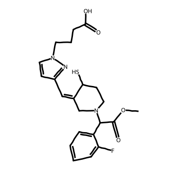 COC(=O)C(c1ccccc1F)N1CCC(S)/C(=C\c2ccn(CCCC(=O)O)n2)C1